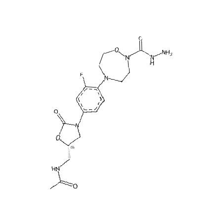 CC(=O)NC[C@H]1CN(c2ccc(N3CCON(C(=O)NN)CC3)c(F)c2)C(=O)O1